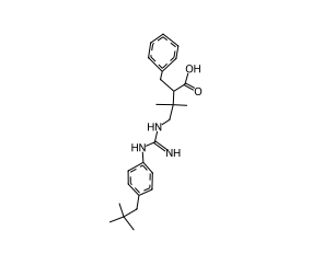 CC(C)(C)Cc1ccc(NC(=N)NCC(C)(C)C(Cc2ccccc2)C(=O)O)cc1